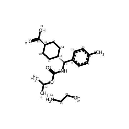 Cc1ccc(C(NC(=O)OC(C)C)[C@H]2CC[C@H](C(=O)O)CC2)cc1.NCCO